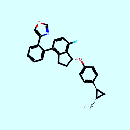 O=C(O)[C@H]1C[C@@H]1c1ccc(O[C@@H]2CCc3c(-c4ccccc4-c4cocn4)ccc(F)c32)cc1